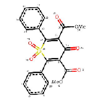 COC(=O)C1=C(c2ccccc2)S(=O)(=O)C(c2ccccc2)=C(C(=O)OC)C1=O